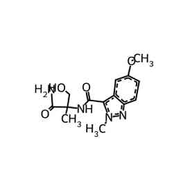 COc1ccc2nn(C)c(C(=O)NC(C)(CO)C(N)=O)c2c1